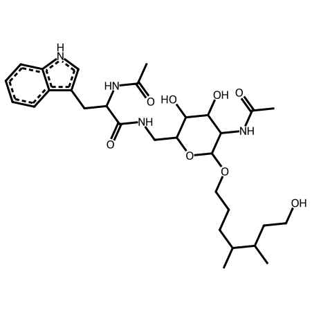 CC(=O)NC(Cc1c[nH]c2ccccc12)C(=O)NCC1OC(OCCCC(C)C(C)CCO)C(NC(C)=O)C(O)C1O